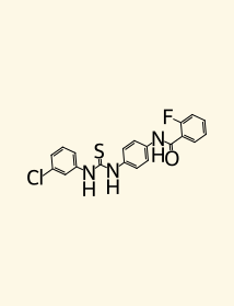 O=C(Nc1ccc(NC(=S)Nc2cccc(Cl)c2)cc1)c1ccccc1F